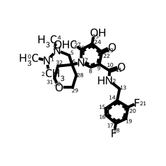 CN(C)N(C)CC1(n2cc(C(=O)NCc3ccc(F)cc3F)c(=O)c(O)c2C=O)CCOCC1